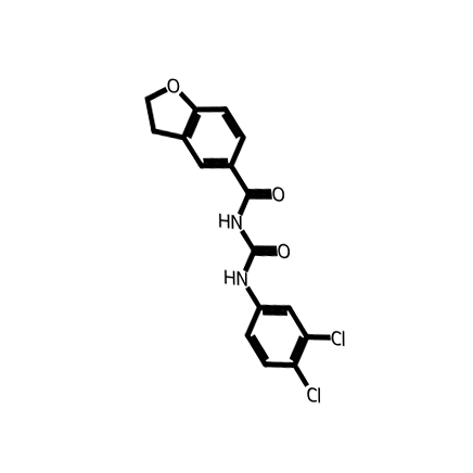 O=C(NC(=O)c1ccc2c(c1)CCO2)Nc1ccc(Cl)c(Cl)c1